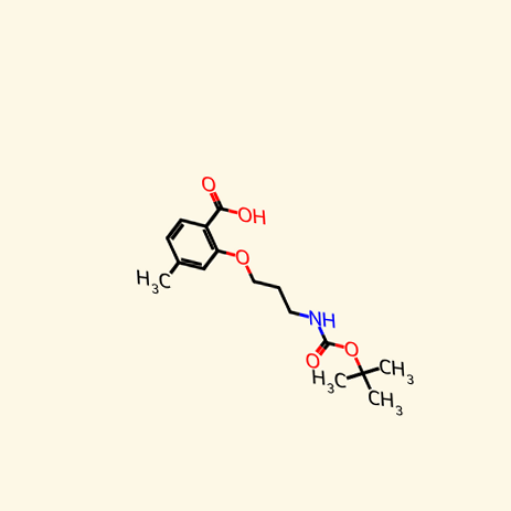 Cc1ccc(C(=O)O)c(OCCCNC(=O)OC(C)(C)C)c1